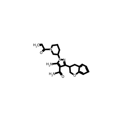 C=CC(=O)N1CCCC(n2nc(C3COc4ccccc4C3)c(C(N)=O)c2N)C1